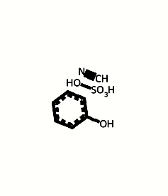 C#N.O=S(=O)(O)O.Oc1ccccc1